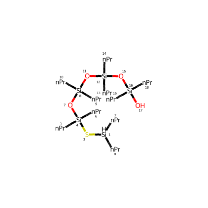 CCC[SiH](CCC)S[Si](CCC)(CCC)O[Si](CCC)(CCC)O[Si](CCC)(CCC)O[Si](O)(CCC)CCC